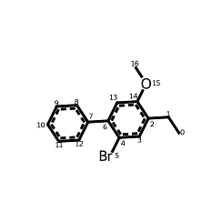 CCc1cc(Br)c(-c2ccccc2)cc1OC